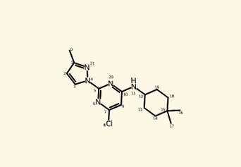 Cc1ccn(-c2nc(Cl)cc(NC3CCC(C)(C)CC3)n2)n1